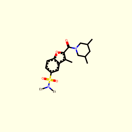 CCN(CC)S(=O)(=O)c1ccc2oc(C(=O)N3CC(C)CC(C)C3)c(C)c2c1